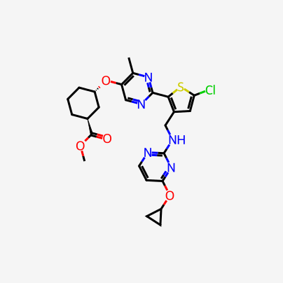 COC(=O)[C@H]1CCC[C@H](Oc2cnc(-c3sc(Cl)cc3CNc3nccc(OC4CC4)n3)nc2C)C1